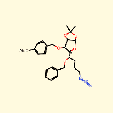 COc1ccc(COC2C3OC(C)(C)OC3O[C@@H]2C(CCCN=[N+]=[N-])OCc2ccccc2)cc1